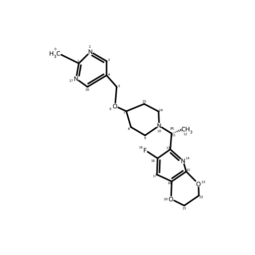 Cc1ncc(COC2CCN([C@H](C)c3nc4c(cc3F)OCCO4)CC2)cn1